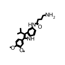 COc1ccc(-c2[nH]c3ccc(NC(=O)CCCN)cc3c2C(C)C)cc1OC